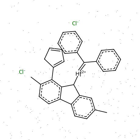 Cc1ccc2c(c1)[CH]([Hf+2]=[C](c1ccccc1)c1ccccc1)c1c-2ccc(C)c1C1=CC=CC1.[Cl-].[Cl-]